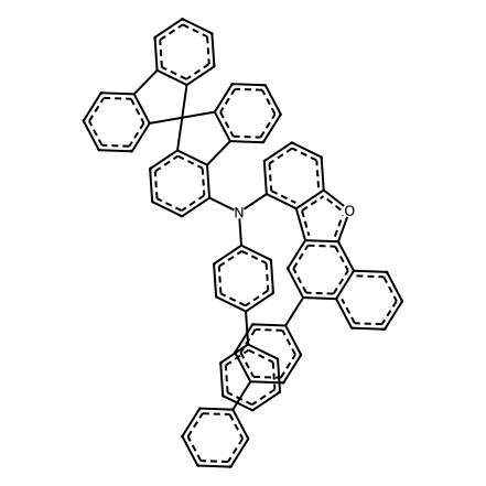 c1ccc(-c2ccc(-c3cc4c(oc5cccc(N(c6ccc(-c7ccccc7)cc6)c6cccc7c6-c6ccccc6C76c7ccccc7-c7ccccc76)c54)c4ccccc34)cc2)cc1